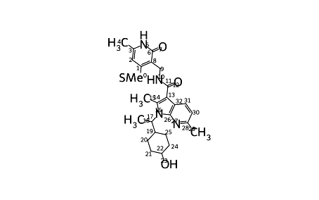 CSc1cc(C)[nH]c(=O)c1CNC(=O)c1c(C)n(C(C)C2CCC(O)CC2)c2nc(C)ccc12